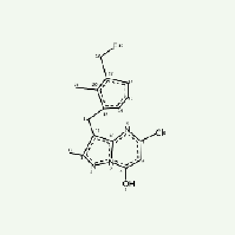 Cc1nn2c(O)cc(Cl)nc2c1Cc1cccc(CF)c1C